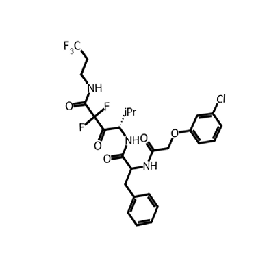 CC(C)[C@H](NC(=O)C(Cc1ccccc1)NC(=O)COc1cccc(Cl)c1)C(=O)C(F)(F)C(=O)NCCC(F)(F)F